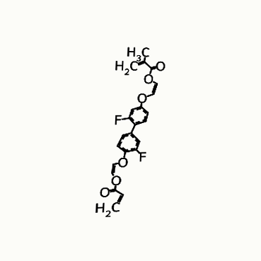 C=CC(=O)O/C=C\Oc1ccc(-c2ccc(O/C=C\OC(=O)C(=C)C)cc2F)cc1F